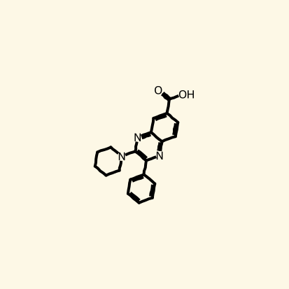 O=C(O)c1ccc2nc(-c3ccccc3)c(N3CCCCC3)nc2c1